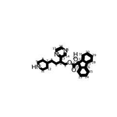 O=C(OCC(CCC1CCNCC1)c1cnccn1)C1(O)c2ccccc2-c2ccccc21